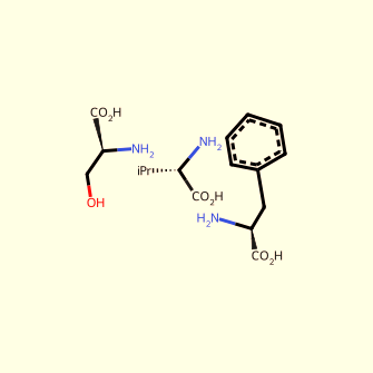 CC(C)[C@H](N)C(=O)O.N[C@@H](CO)C(=O)O.N[C@@H](Cc1ccccc1)C(=O)O